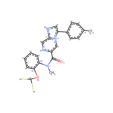 CN(C(=O)c1cn2c(-c3ccc(C(F)(F)F)cc3)cnc2cn1)c1ccccc1OC(F)F